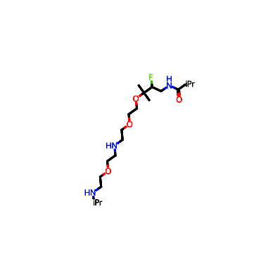 CC(C)NCCOCCNCCOCCOC(C)(C)C(F)CNC(=O)C(C)C